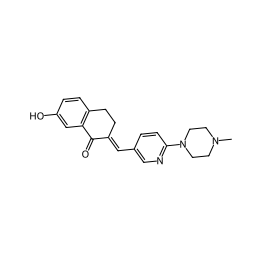 CN1CCN(c2ccc(/C=C3\CCc4ccc(O)cc4C3=O)cn2)CC1